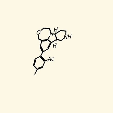 CC(=O)c1cc(C)ccc1-c1cc2c3c(c1)[C@@H]1CNCC[C@@H]1N3CCOC2